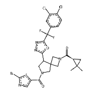 CC1(C)C[C@@H]1C(=O)N1CC2(CN(C(=O)c3cnc(Br)s3)CC2c2nnc(C(F)(F)c3ccc(Cl)c(Cl)c3)o2)C1